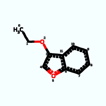 CCOc1[c]oc2ccccc12